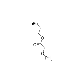 CCCCCCOC(=O)COP